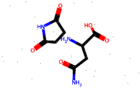 NC(=O)CC(N)C(=O)O.O=C1CCC(=O)N1